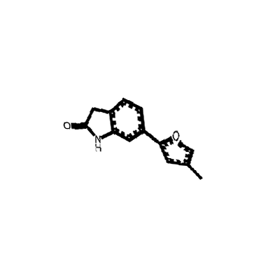 Cc1coc(-c2ccc3c(c2)NC(=O)C3)c1